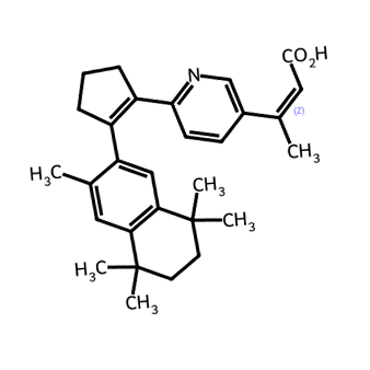 C/C(=C/C(=O)O)c1ccc(C2=C(c3cc4c(cc3C)C(C)(C)CCC4(C)C)CCC2)nc1